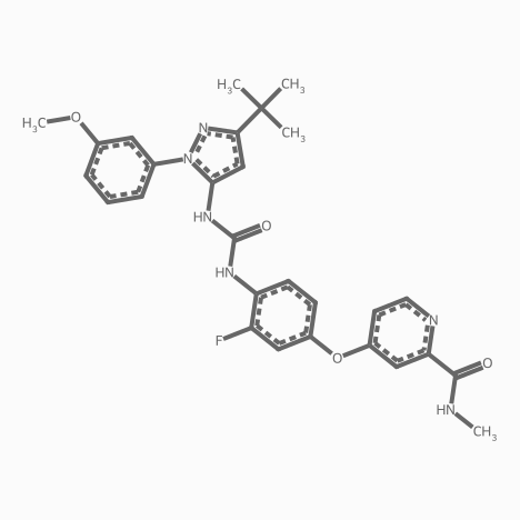 CNC(=O)c1cc(Oc2ccc(NC(=O)Nc3cc(C(C)(C)C)nn3-c3cccc(OC)c3)c(F)c2)ccn1